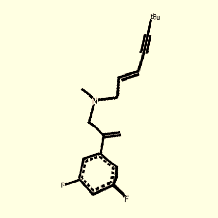 C=C(CN(C)CC=CC#CC(C)(C)C)c1cc(F)cc(F)c1